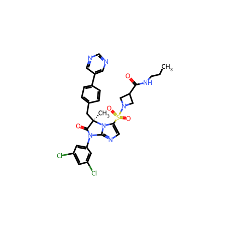 CCCNC(=O)C1CN(S(=O)(=O)c2cnc3n2[C@](C)(Cc2ccc(-c4cncnc4)cc2)C(=O)N3c2cc(Cl)cc(Cl)c2)C1